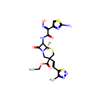 CC(=O)OCOC(=O)C1(C=Cc2snnc2C)CS[C@@H]2C(NC(=O)C(=NO)c3csc(N)n3)C(=O)N2C1